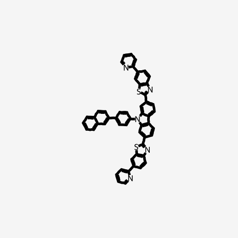 c1ccc(-c2ccc3nc(-c4ccc5c6ccc(-c7nc8ccc(-c9ccccn9)cc8s7)cc6n(-c6ccc(-c7ccc8ccccc8c7)cc6)c5c4)sc3c2)nc1